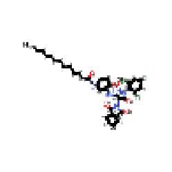 CCCCCCCCCCCCC(=O)Nc1ccc(OC)c(Nc2[nH]n(-c3c(Cl)cc(Cl)cc3Cl)c(=O)c2N2C(=O)c3ccccc3C2=O)c1